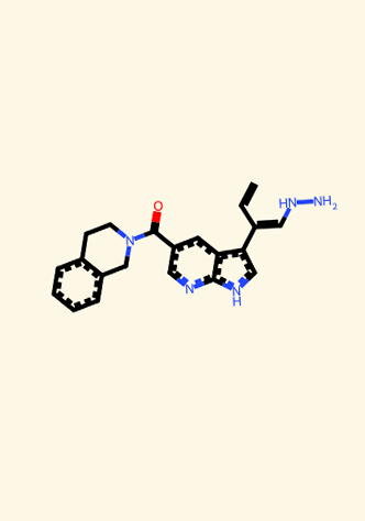 C=C/C(=C\NN)c1c[nH]c2ncc(C(=O)N3CCc4ccccc4C3)cc12